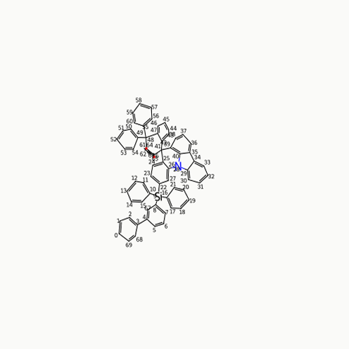 c1ccc(-c2cccc([Si](c3ccccc3)(c3ccccc3)c3ccc4c(c3)-n3c5ccccc5c5cccc(c53)C43c4ccccc4C(c4ccccc4)(c4ccccc4)c4ccccc43)c2)cc1